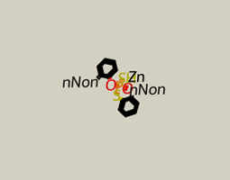 CCCCCCCCCc1ccccc1OP(=O)(S)Sc1ccccc1CCCCCCCCC.[Zn]